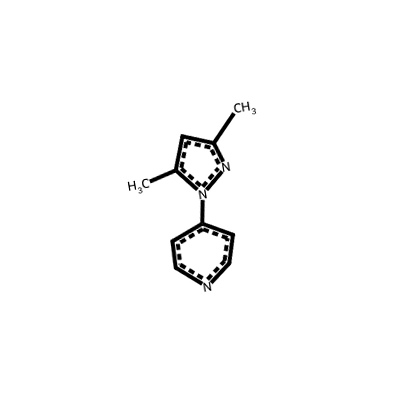 Cc1cc(C)n(-c2ccncc2)n1